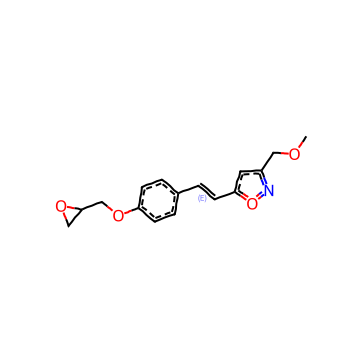 COCc1cc(/C=C/c2ccc(OCC3CO3)cc2)on1